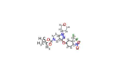 CC(C)(C)OC(=O)N1CCc2c(c(Oc3ccc([N+](=O)[O-])c(C(F)F)c3)nn2C2CCOCC2)C1